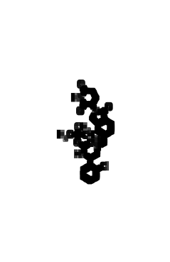 CC(C)(C)OC(=O)NC(CNCc1ccc2c(c1)CN(C1CCC(=O)NC1=O)C2=O)c1ccccc1Cl